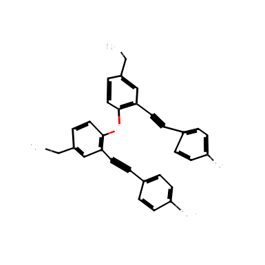 N#CCc1ccc(Oc2ccc(CC#N)cc2C#Cc2ccc([N+](=O)[O-])cc2)c(C#Cc2ccc([N+](=O)[O-])cc2)c1